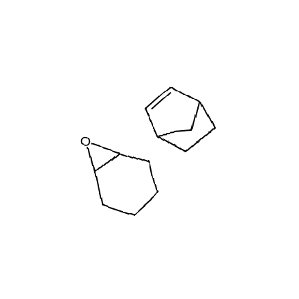 C1=CC2CCC1C2.C1CCC2OC2C1